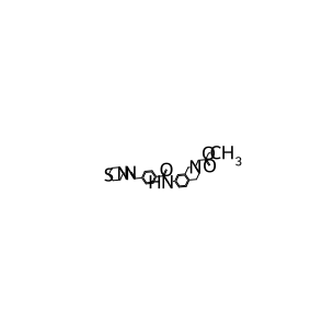 COC(=O)CN1CCc2ccc(NC(=O)c3ccc(C=NN4CCSCC4)cc3)cc2C1